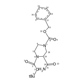 CC(C)(C)OC(=O)N1CCN(C(=O)OCc2ccccc2)CC1C(N)=O